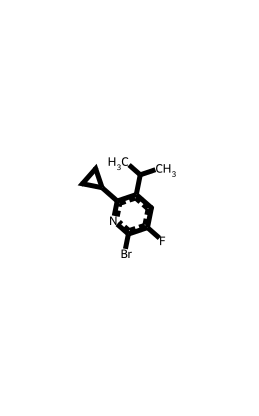 CC(C)c1cc(F)c(Br)nc1C1CC1